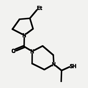 CCC1CCN(C(=O)N2CCN(C(C)S)CC2)C1